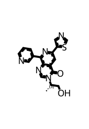 C[C@@H](CO)n1cnc2c(-c3cccnc3)nc(-c3cncs3)cc2c1=O